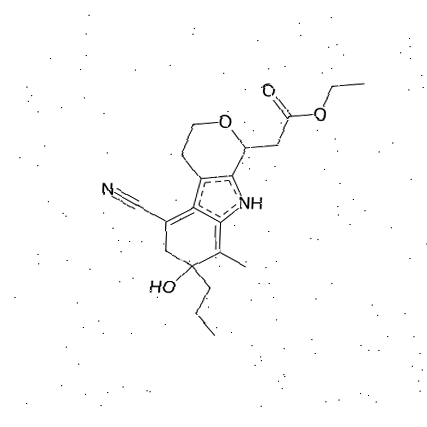 CCCC1(O)CC(C#N)=c2c3c([nH]c2=C1C)C(CC(=O)OCC)OCC3